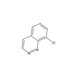 Clc1c[c]cc2ccnnc12